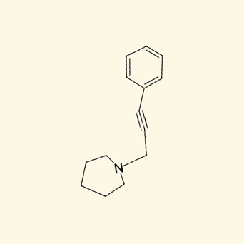 C(#Cc1ccccc1)CN1CCCCC1